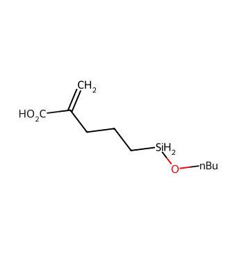 C=C(CCC[SiH2]OCCCC)C(=O)O